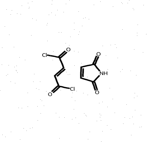 O=C(Cl)/C=C/C(=O)Cl.O=C1C=CC(=O)N1